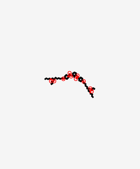 C=CC(=O)OC(CCCCCC)CCCCCOc1ccc(C(=O)Oc2cccc(OC(=O)c3ccc(OCCCCCC(CCCCCC)OC(=O)C=C)cc3)c2C)cc1